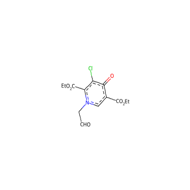 CCOC(=O)c1cn(CC=O)c(C(=O)OCC)c(Cl)c1=O